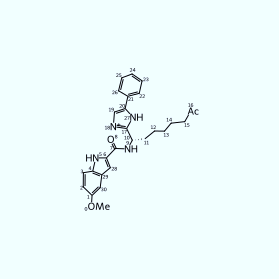 COc1ccc2[nH]c(C(=O)N[C@@H](CCCCCC(C)=O)C3=[N+]C=C(c4ccccc4)N3)cc2c1